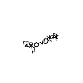 O=C(CC1CC1(F)F)N[C@H]1CC[C@H](CCN2CCc3nc(OCC(F)(F)F)sc3CC2)CC1